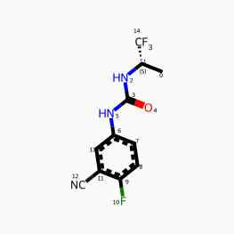 C[C@H](NC(=O)Nc1ccc(F)c(C#N)c1)C(F)(F)F